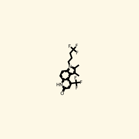 Cc1c(C)n(CCCC(F)(F)F)c2ccc3[nH]c(=O)cc(C(F)(F)F)c3c12